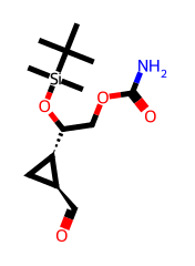 CC(C)(C)[Si](C)(C)OC(COC(N)=O)[C@H]1C[C@@H]1C=O